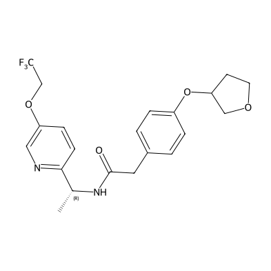 C[C@@H](NC(=O)Cc1ccc(OC2CCOC2)cc1)c1ccc(OCC(F)(F)F)cn1